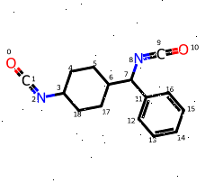 O=C=NC1CCC(C(N=C=O)c2ccccc2)CC1